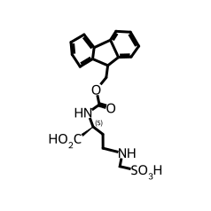 O=C(N[C@@H](CCNCS(=O)(=O)O)C(=O)O)OCC1c2ccccc2-c2ccccc21